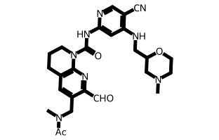 CC(=O)N(C)Cc1cc2c(nc1C=O)N(C(=O)Nc1cc(NCC3CN(C)CCO3)c(C#N)cn1)CCC2